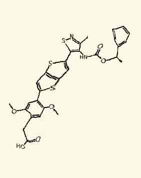 COc1cc(-c2cc3sc(-c4snc(C)c4NC(=O)O[C@H](C)c4ccccc4)cc3s2)c(OC)cc1CC(=O)O